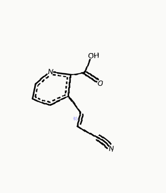 N#C/C=C/c1cccnc1C(=O)O